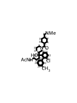 CNCC1CCC(C(=O)N2CCC[C@@H]([C@@](O)(CCCNC(C)=O)c3cccc(Cl)c3-c3cccc(C)c3)C2)CC1